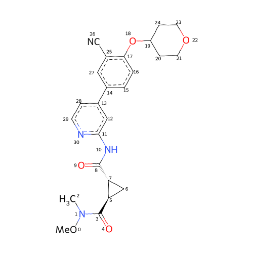 CON(C)C(=O)[C@@H]1C[C@H]1C(=O)Nc1cc(-c2ccc(OC3CCOCC3)c(C#N)c2)ccn1